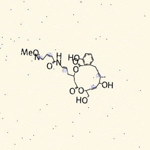 CO/N=C\C=C/C(=O)N/C=C/CC1CC(=O)OC(CO)/C=C/C(O)/C(C)=C\Cc2cccc(O)c2C(=O)O1